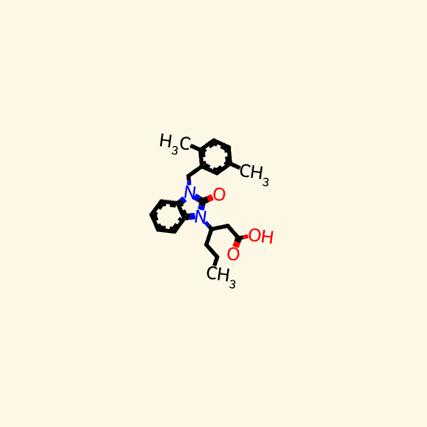 CCCC(CC(=O)O)n1c(=O)n(Cc2cc(C)ccc2C)c2ccccc21